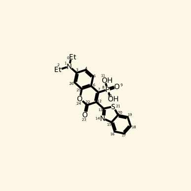 CCN(CC)c1ccc2c(P(=O)(O)O)c(-c3nc4ccccc4s3)c(=O)oc2c1